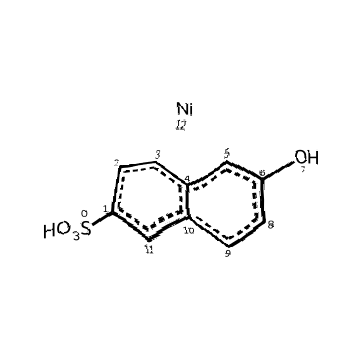 O=S(=O)(O)c1ccc2cc(O)ccc2c1.[Ni]